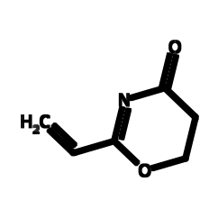 C=CC1=NC(=O)CCO1